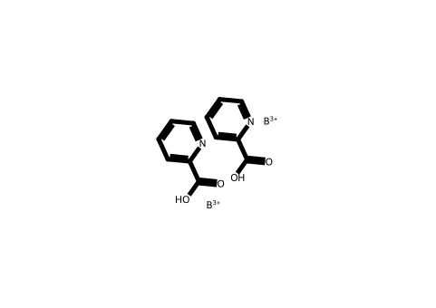 O=C(O)c1ccccn1.O=C(O)c1ccccn1.[B+3].[B+3]